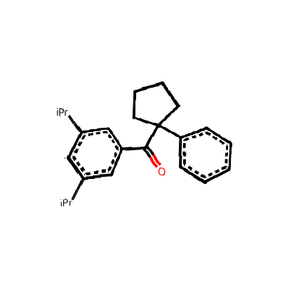 CC(C)c1[c]c(C(C)C)cc(C(=O)C2(c3ccccc3)CCCC2)c1